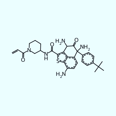 C=CC(=O)N1CCCC(NC(=O)c2sc3c(N)ccc4c3c2C(N)C(=O)C4(N)c2ccc(C(C)(C)C)cc2)C1